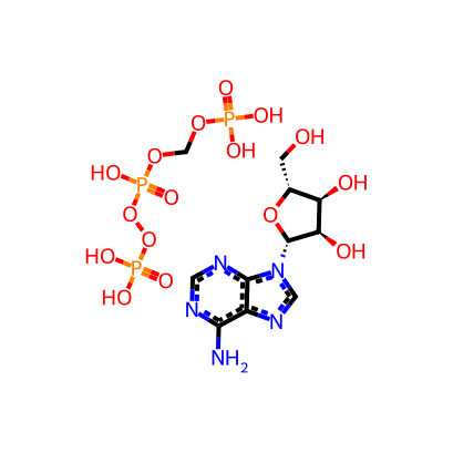 Nc1ncnc2c1ncn2[C@@H]1O[C@H](CO)[C@@H](O)[C@H]1O.O=P(O)(O)OCOP(=O)(O)OOP(=O)(O)O